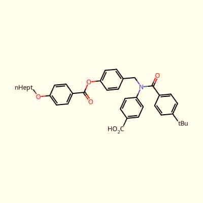 CCCCCCCOc1ccc(C(=O)Oc2ccc(CN(C(=O)c3ccc(C(C)(C)C)cc3)c3ccc(C(=O)O)cc3)cc2)cc1